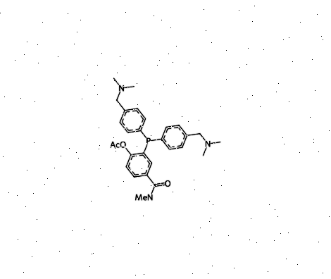 CNC(=O)c1ccc(OC(C)=O)c(P(c2ccc(CN(C)C)cc2)c2ccc(CN(C)C)cc2)c1